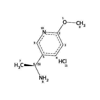 COc1ccc([C@H](C)N)cn1.Cl